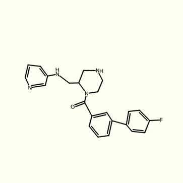 O=C(c1cccc(-c2ccc(F)cc2)c1)N1CCNCC1CNc1cccnc1